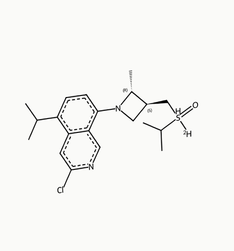 [2H][SH](=O)(C[C@H]1CN(c2ccc(C(C)C)c3cc(Cl)ncc23)[C@@H]1C)C(C)C